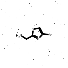 NCc1nc(Br)cs1